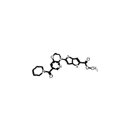 COC(=O)C1=CC2SC(N3CCOc4cc(C(=O)N5CCCCC5)cnc43)=CC2S1